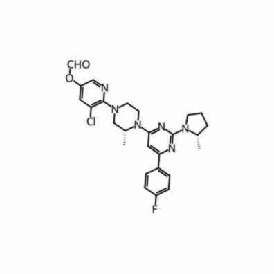 C[C@@H]1CN(c2ncc(OC=O)cc2Cl)CCN1c1cc(-c2ccc(F)cc2)nc(N2CCC[C@@H]2C)n1